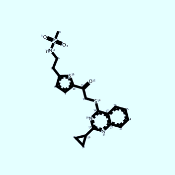 CS(=O)(=O)NCCc1ccc(C(=O)CSc2nc(C3CC3)nc3ccccc23)s1